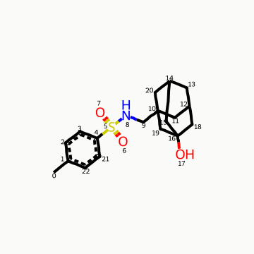 Cc1ccc(S(=O)(=O)NCC23CC4CC(CC(O)(C4)C2)C3)cc1